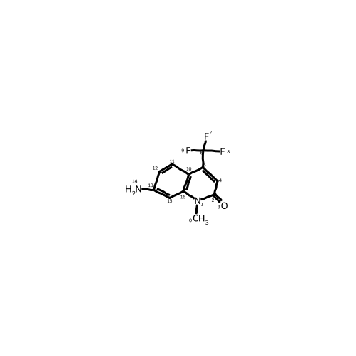 Cn1c(=O)cc(C(F)(F)F)c2ccc(N)cc21